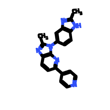 Cc1nc2cc(-n3c(C)nc4ccc(-c5ccncc5)nc43)ccc2[nH]1